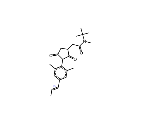 C/C=C/c1cc(C)c(C2C(=O)CC(CC(=O)N(C)C(C)(C)C)C2=O)c(C)c1